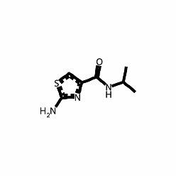 CC(C)NC(=O)c1csc(N)n1